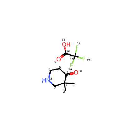 CC1(C)CNCCC1=O.O=C(O)C(F)(F)F